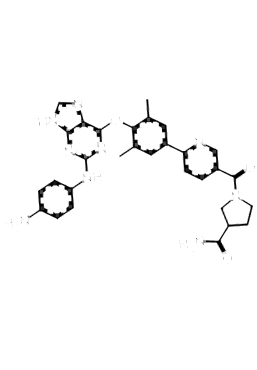 Cc1cc(-c2ccc(C(=O)N3CCC(C(N)=O)C3)cn2)cc(C)c1Oc1nc(Nc2ccc(N)cc2)nc2[nH]cnc12